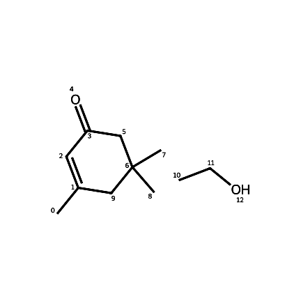 CC1=CC(=O)CC(C)(C)C1.CCO